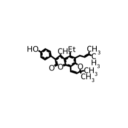 CCc1c(CC=C(C)C)c2c(c3oc(=O)c(-c4ccc(O)cc4)c(C)c13)C=CC(C)(C)O2